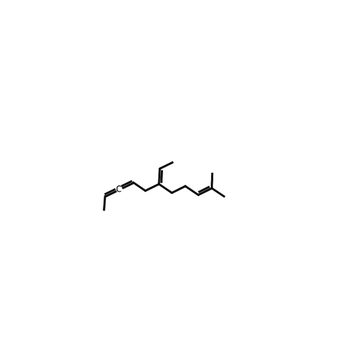 CC=C=CCC(=CC)CCC=C(C)C